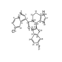 O=C(c1cnn2ccc(Cl)cc12)N1CCc2[nH]cnc2[C@H]1c1nc2ccc(F)cc2s1